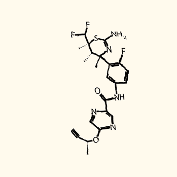 C#C[C@H](C)Oc1cnc(C(=O)Nc2ccc(F)c([C@@]3(C)N=C(N)S[C@](C)(C(F)F)[C@H]3C)c2)cn1